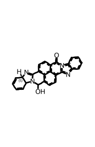 O=c1c2ccc3c4c(ccc(c42)c2nc4ccccc4n12)C(O)N1C3=N[C@H]2C=CC=CC21